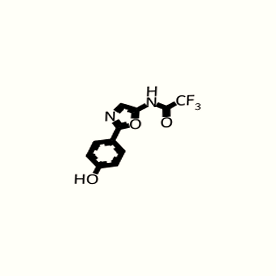 O=C(Nc1cnc(-c2ccc(O)cc2)o1)C(F)(F)F